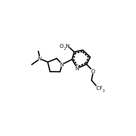 CN(C)C1CCN(c2nc(OCC(F)(F)F)ccc2[N+](=O)[O-])C1